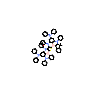 CC1(C)C2=C(B3c4sc5c(c4N(c4ccccc4)c4cc(N(c6ccccc6)c6ccccc6)cc(c43)N2c2ccccc2)N(c2ccccc2)c2cc(N(c3ccccc3)c3ccccc3)cc3c2B5c2ccccc2N3c2ccccc2)c2ccccc21